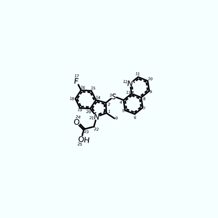 Cc1c(Sc2cccc3cccnc23)c2cc(F)ccc2n1CC(=O)O